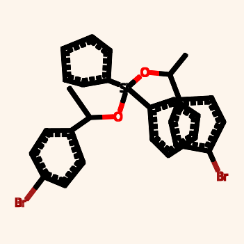 CC(O[Si](OC(C)c1ccc(Br)cc1)(c1ccccc1)c1ccccc1)c1ccc(Br)cc1